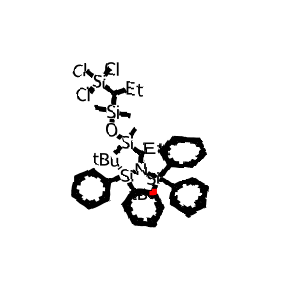 CCC(N([Si](c1ccccc1)(c1ccccc1)C(C)(C)C)[Si](c1ccccc1)(c1ccccc1)C(C)(C)C)[Si](C)(C)O[Si](C)(C)C(CC)[Si](Cl)(Cl)Cl